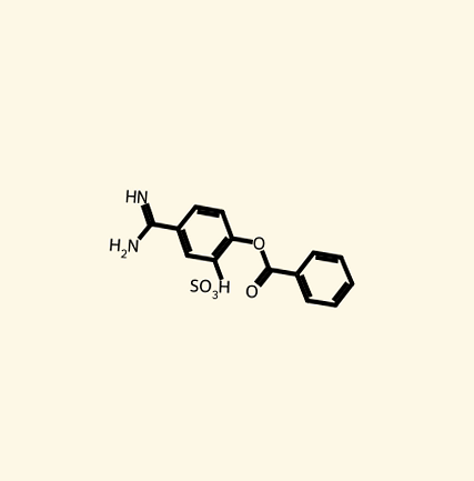 N=C(N)c1ccc(OC(=O)c2ccccc2)c(S(=O)(=O)O)c1